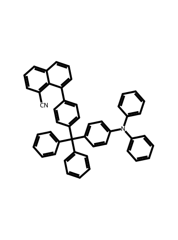 N#Cc1cccc2cccc(-c3ccc(C(c4ccccc4)(c4ccccc4)c4ccc(N(c5ccccc5)c5ccccc5)cc4)cc3)c12